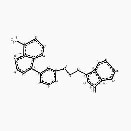 FC(F)(F)c1cccc2c(-c3cccc(OCCc4c[nH]c5ccccc45)c3)ccnc12